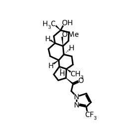 COC[C@]12CC[C@@](C)(O)C[C@H]1CC[C@H]1[C@@H]3CC[C@H](C(=O)Cn4ccc(C(F)(F)F)n4)[C@@]3(C)CC[C@@H]12